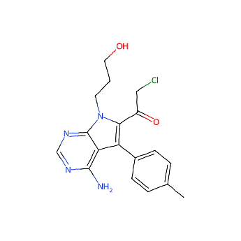 Cc1ccc(-c2c(C(=O)CCl)n(CCCO)c3ncnc(N)c23)cc1